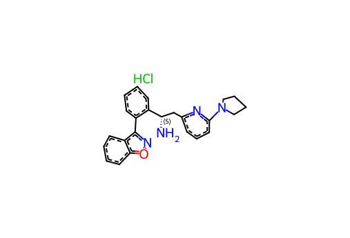 Cl.N[C@@H](Cc1cccc(N2CCCC2)n1)c1ccccc1-c1noc2ccccc12